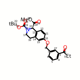 CCC(=O)c1cccc(COc2ccc3c(c2)CCN(C(=O)OC(C)(C)C)[C@H]3C(=O)OC)c1